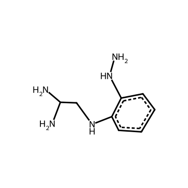 NNc1ccccc1NCC(N)N